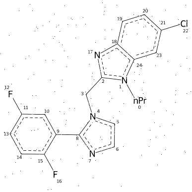 CCCn1c(Cn2ccnc2-c2cc(F)ccc2F)nc2ccc(Cl)cc21